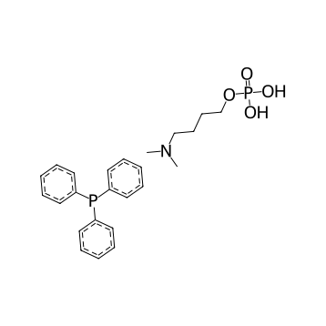 CN(C)CCCCOP(=O)(O)O.c1ccc(P(c2ccccc2)c2ccccc2)cc1